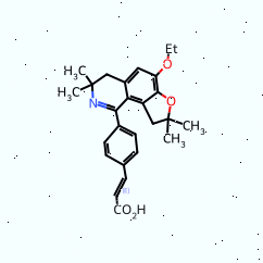 CCOc1cc2c(c3c1OC(C)(C)C3)C(c1ccc(/C=C/C(=O)O)cc1)=NC(C)(C)C2